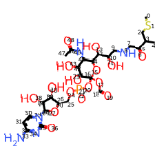 CSCC(C)C(=O)CNCC(O)C(O)C1OC(OC=O)(OP(=O)(O)OC[C@H]2O[C@@H](n3ccc(N)nc3=O)[C@H](O)[C@@H]2O)CC(O)C1NC(C)=O